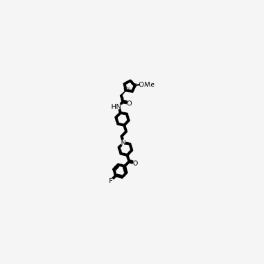 CO[C@@H]1CC[C@H](CC(=O)NC2CCC(CCN3CCC(C(=O)c4ccc(F)cc4)CC3)CC2)C1